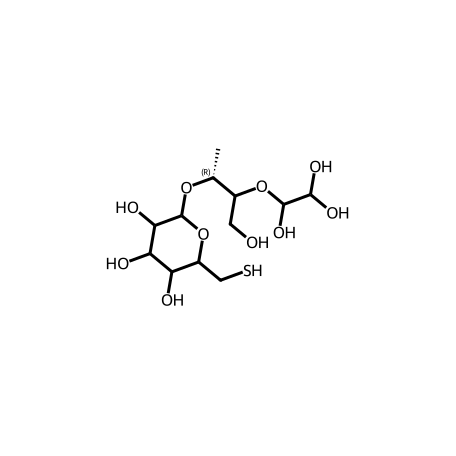 C[C@@H](OC1OC(CS)C(O)C(O)C1O)C(CO)OC(O)C(O)O